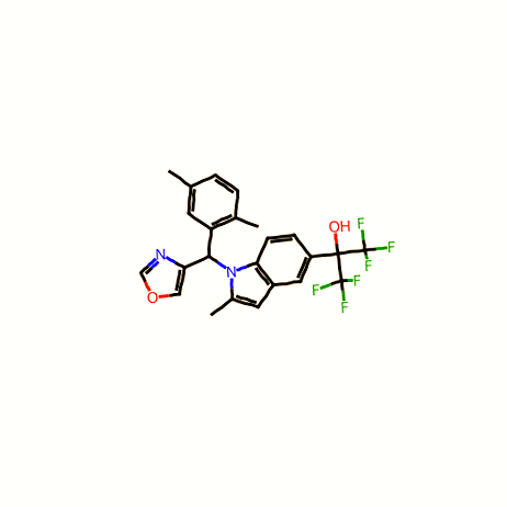 Cc1ccc(C)c(C(c2cocn2)n2c(C)cc3cc(C(O)(C(F)(F)F)C(F)(F)F)ccc32)c1